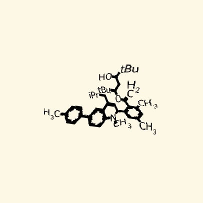 C=C(OC(CC(O)C(C)(C)C)C(C)(C)C)c1c(C)cc(C)cc1C1C=C(CC(C)C)c2cc(-c3ccc(C)cc3)ccc2N1C